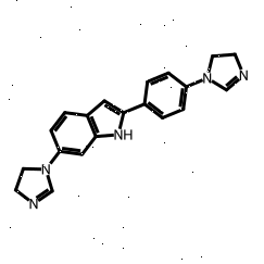 C1=NCCN1c1ccc(-c2cc3ccc(N4C=NCC4)cc3[nH]2)cc1